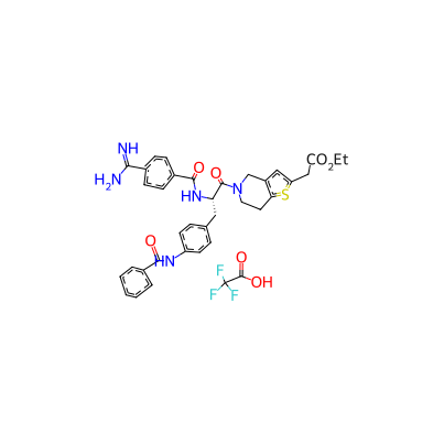 CCOC(=O)Cc1cc2c(s1)CCN(C(=O)[C@H](Cc1ccc(NC(=O)c3ccccc3)cc1)NC(=O)c1ccc(C(=N)N)cc1)C2.O=C(O)C(F)(F)F